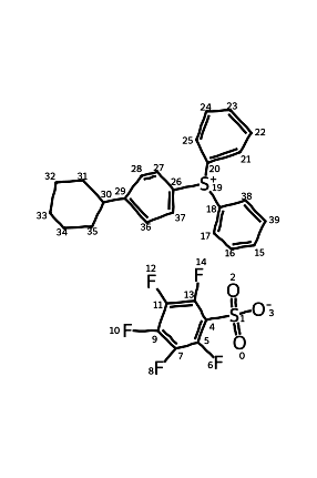 O=S(=O)([O-])c1c(F)c(F)c(F)c(F)c1F.c1ccc([S+](c2ccccc2)c2ccc(C3CCCCC3)cc2)cc1